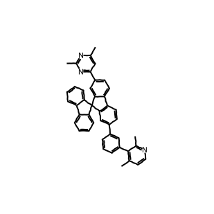 Cc1cc(-c2ccc3c(c2)C2(c4ccccc4-c4ccccc42)c2cc(-c4cccc(-c5c(C)ccnc5C)c4)ccc2-3)nc(C)n1